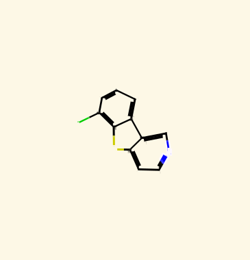 Clc1cccc2c1sc1ccncc12